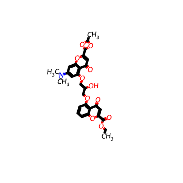 CCOC(=O)c1cc(=O)c2c(OCC(O)COc3cc(N(C)C)cc4oc(C5OC(C)O5)cc(=O)c34)cccc2o1